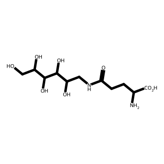 NC(CCC(=O)NCC(O)C(O)C(O)C(O)CO)C(=O)O